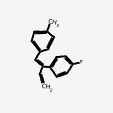 C=C/C(=C/c1ccc(C)cc1)c1ccc(F)cc1